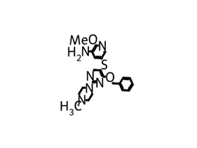 COc1ncc(Sc2cnc(N3CCN(C)CC3)nc2OCc2ccccc2)cc1N